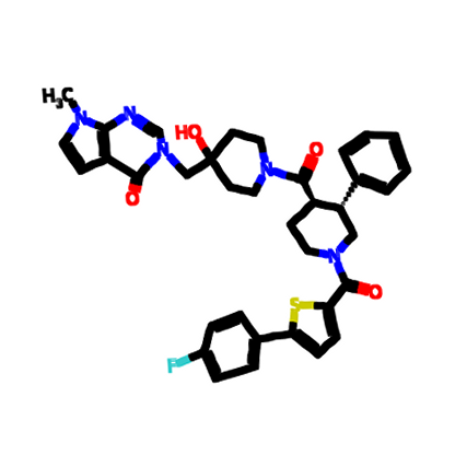 Cn1ccc2c(=O)n(CC3(O)CCN(C(=O)[C@@H]4CCN(C(=O)c5ccc(-c6ccc(F)cc6)s5)C[C@H]4c4ccccc4)CC3)cnc21